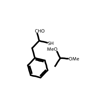 COC(C)OC.O=CC(S)Cc1ccccc1